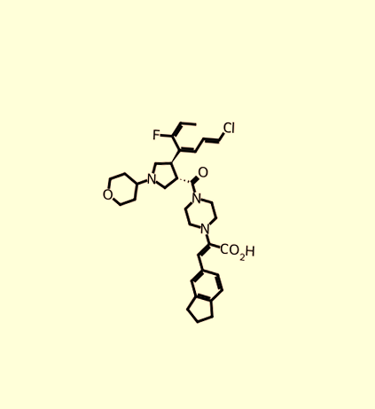 C\C=C(F)/C(=C\C=C\Cl)[C@@H]1CN(C2CCOCC2)C[C@H]1C(=O)N1CCN(/C(=C/c2ccc3c(c2)CCC3)C(=O)O)CC1